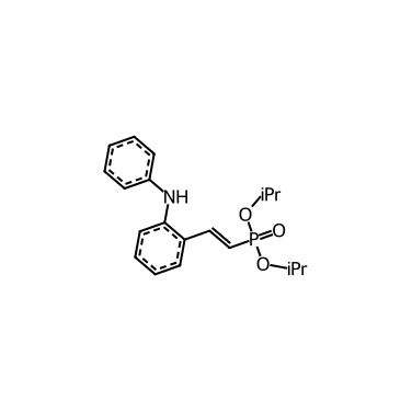 CC(C)OP(=O)(C=Cc1ccccc1Nc1ccccc1)OC(C)C